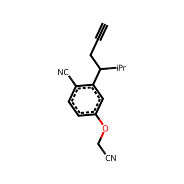 C#CCC(c1cc(OCC#N)ccc1C#N)C(C)C